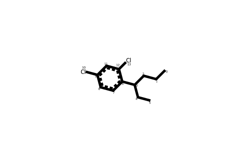 CCCC(CC)c1ccc(Cl)cc1Cl